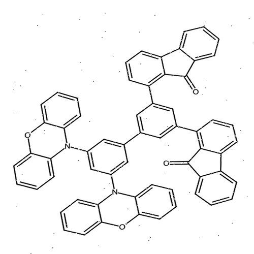 O=C1c2ccccc2-c2cccc(-c3cc(-c4cc(N5c6ccccc6Oc6ccccc65)cc(N5c6ccccc6Oc6ccccc65)c4)cc(-c4cccc5c4C(=O)c4ccccc4-5)c3)c21